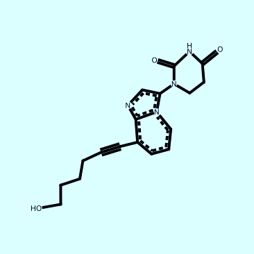 O=C1CCN(c2cnc3c(C#CCCCCO)cccn23)C(=O)N1